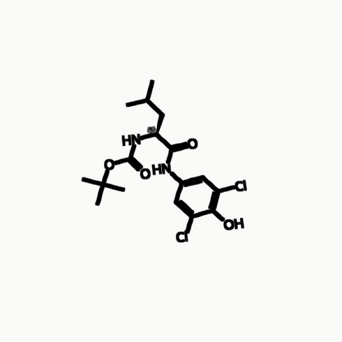 CC(C)C[C@H](NC(=O)OC(C)(C)C)C(=O)Nc1cc(Cl)c(O)c(Cl)c1